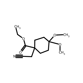 CCOC(=O)C1(CC#N)CCC(OC)(OC)CC1